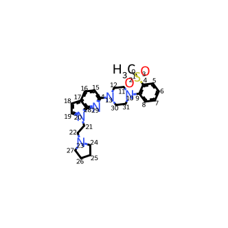 CS(=O)(=O)c1ccccc1N1CCN(c2ccc3ccn(CCN4CCCC4)c3n2)CC1